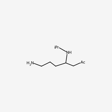 CC(=O)CC(CCCN)NC(C)C